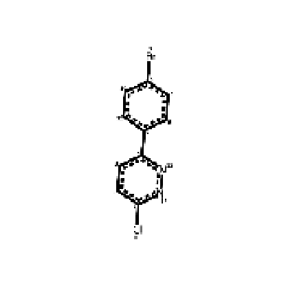 Clc1ccc(-c2ccc(Br)cc2)nn1